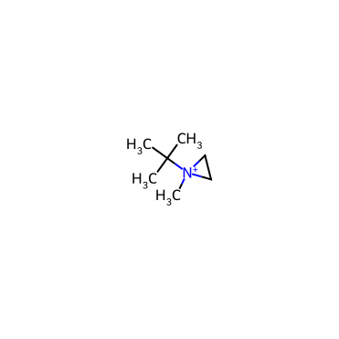 CC(C)(C)[N+]1(C)CC1